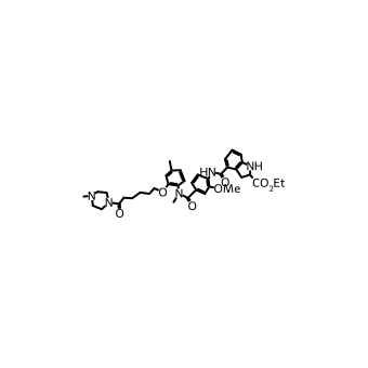 CCOC(=O)C1Cc2c(cccc2C(=O)Nc2ccc(C(=O)N(C)c3ccc(C)cc3OCCCCCC(=O)N3CCN(C)CC3)cc2OC)N1